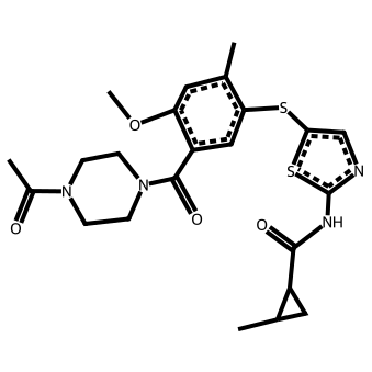 COc1cc(C)c(Sc2cnc(NC(=O)C3CC3C)s2)cc1C(=O)N1CCN(C(C)=O)CC1